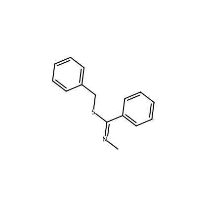 C/N=C(/SCc1ccccc1)c1c[c]ccc1